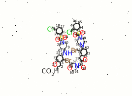 O=C(O)c1cc2c(Br)c(NC3CCN(S(=O)(=O)c4cccc(Cl)c4)CC3)ccc2o1.O=C(c1cc2c(Br)c(N3CCN(S(=O)(=O)c4ccccc4Cl)CC3)ccc2o1)N1CCOCC1